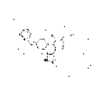 CC(C)Cc1ccc(-c2nn[nH]n2)c(N2CCN(Cc3cccnn3)CC2)c1F